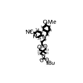 COc1ccc(CN(CCC2OCC3(CO2)CN(C(=O)OC(C)(C)C)C3)c2ccc(C#N)nc2)cc1